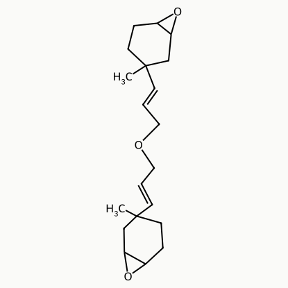 CC1(C=CCOCC=CC2(C)CCC3OC3C2)CCC2OC2C1